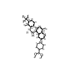 COC(OC)C1CCN(c2cnc3c(C)nnc(N[C@H](C)c4cccc(C(F)(F)F)c4C)c3c2)CC1